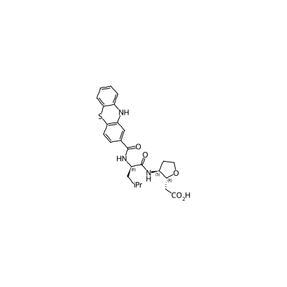 CC(C)C[C@@H](NC(=O)c1ccc2c(c1)Nc1ccccc1S2)C(=O)N[C@H]1CCO[C@@H]1CC(=O)O